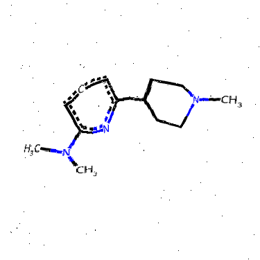 CN1CCC(c2cccc(N(C)C)n2)CC1